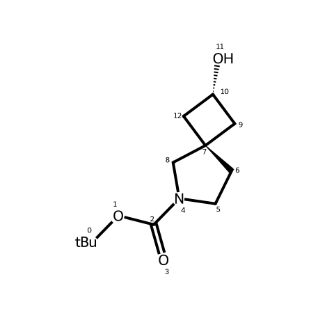 CC(C)(C)OC(=O)N1CC[C@]2(C1)C[C@@H](O)C2